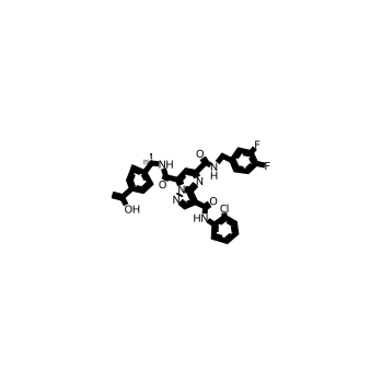 C=C(O)c1ccc([C@H](C)NC(=O)c2cc(C(=O)NCc3ccc(F)c(F)c3)nc3c(C(=O)Nc4ccccc4Cl)cnn23)cc1